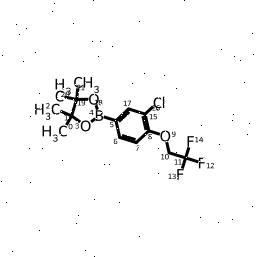 CC1(C)OB(c2ccc(OCC(F)(F)F)c(Cl)c2)OC1(C)C